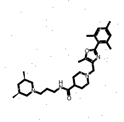 Cc1cc(C)c(-c2nc(CN3CCC(C(=O)NCCCN4C[C@H](C)C[C@H](C)C4)CC3)c(C)o2)c(C)c1